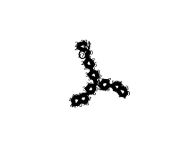 c1ccc2cc(-c3ccc(N(c4ccc(-c5ccc(-c6cc7ncccc7o6)cc5)cc4)c4ccc(-c5ccc6ccccc6c5)cc4)cc3)ccc2c1